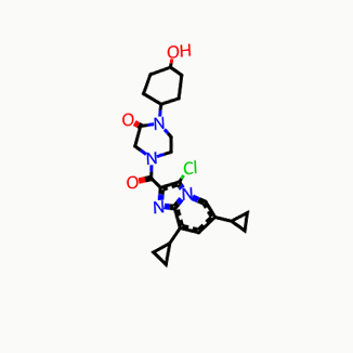 O=C(c1nc2c(C3CC3)cc(C3CC3)cn2c1Cl)N1CCN(C2CCC(O)CC2)C(=O)C1